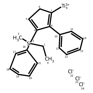 CC[Si](C)(C1=CC[C]([Ti+3])=C1c1ccccc1)c1ccccc1.[Cl-].[Cl-].[Cl-]